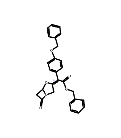 O=C(OCc1ccccc1)/C(=C1\CN2C(=O)CC2O1)c1ccc(OCc2ccccc2)cc1